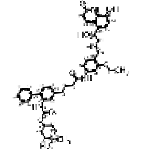 CCOc1cc(NC(=O)CCCc2ccc(-c3ccccc3)c(NC(=O)OC3CC[N+](C)(C)CC3)c2)ccc1CNC[C@@H](O)c1ccc(O)c2[nH]c(=O)ccc12